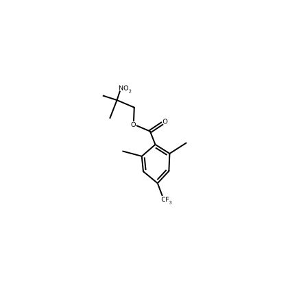 Cc1cc(C(F)(F)F)cc(C)c1C(=O)OCC(C)(C)[N+](=O)[O-]